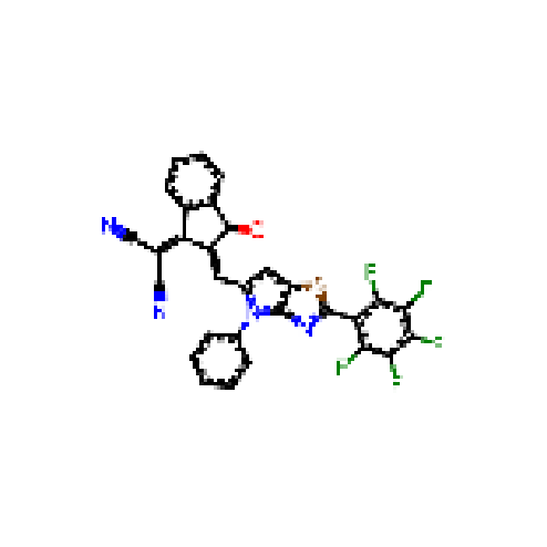 N#CC(C#N)=C1/C(=C/c2cc3sc(-c4c(F)c(F)c(F)c(F)c4F)nc3n2-c2ccccc2)C(=O)c2ccccc21